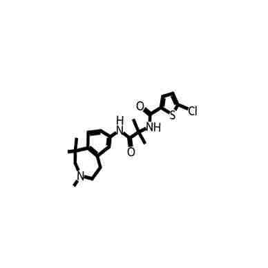 CN1CCc2cc(NC(=O)C(C)(C)NC(=O)c3ccc(Cl)s3)ccc2C(C)(C)C1